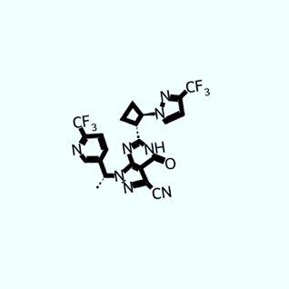 C[C@H](c1ccc(C(F)(F)F)nc1)n1nc(C#N)c2c(=O)[nH]c([C@@H]3CC[C@H]3n3ccc(C(F)(F)F)n3)nc21